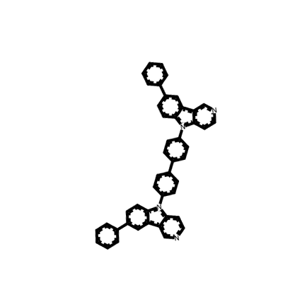 c1ccc(-c2ccc3c(c2)c2cnccc2n3-c2ccc(-c3ccc(-n4c5ccncc5c5cc(-c6ccccc6)ccc54)cc3)cc2)cc1